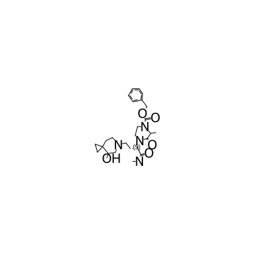 CC1C(=O)N([C@@H](CCN2CCC3(CC3)C(O)C2)C(=O)N(C)C)CCN1C(=O)OCc1ccccc1